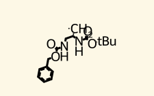 [CH2][C@@H](CNC(=O)OCc1ccccc1)NC(=O)OC(C)(C)C